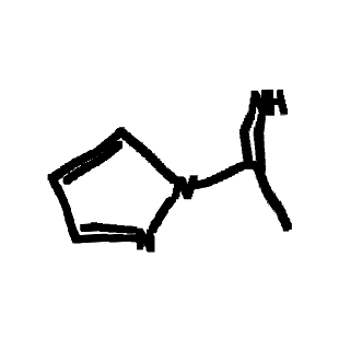 CC(=N)n1cccn1